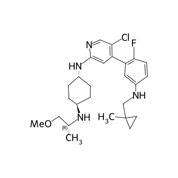 COC[C@@H](C)N[C@H]1CC[C@H](Nc2cc(-c3cc(NCC4(C)CC4)ccc3F)c(Cl)cn2)CC1